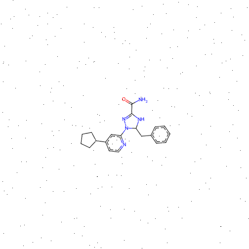 NC(=O)C1=NN(c2cc(C3CCCC3)ccn2)C(Cc2ccccc2)N1